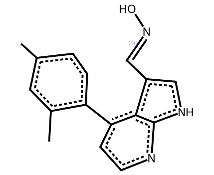 Cc1ccc(-c2ccnc3[nH]cc(/C=N/O)c23)c(C)c1